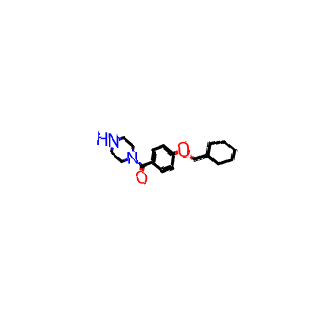 O=C(c1ccc(OCC2CCCCC2)cc1)N1CCNCC1